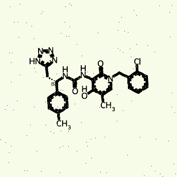 Cc1ccc([C@H](Cc2nnn[nH]2)NC(=O)Nc2c(O)c(C)cn(Cc3ccccc3Cl)c2=O)cc1